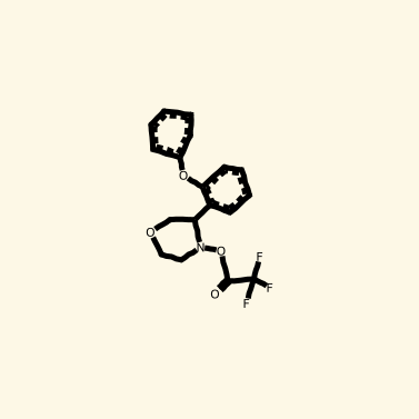 O=C(ON1CCOCC1c1ccccc1Oc1ccccc1)C(F)(F)F